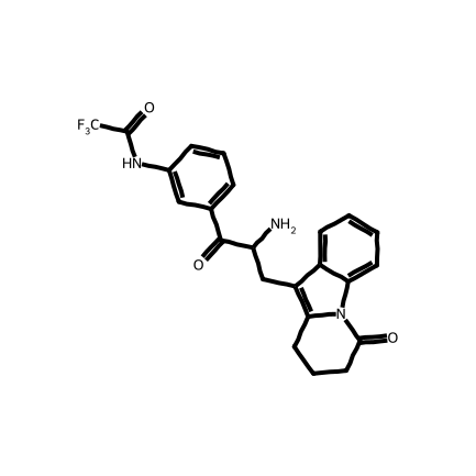 NC(Cc1c2n(c3ccccc13)C(=O)CCC2)C(=O)c1cccc(NC(=O)C(F)(F)F)c1